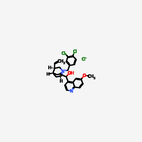 C=C[C@H]1C[N+]2(Cc3ccc(Cl)c(Cl)c3)CC[C@H]1C[C@@H]2[C@@H](O)c1ccnc2ccc(OC)cc12.[Cl-]